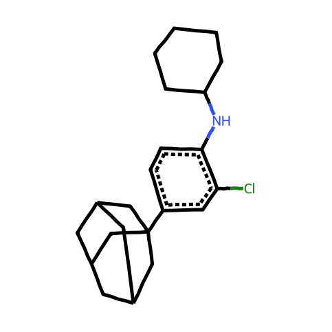 Clc1cc(C23CC4CC(CC(C4)C2)C3)ccc1NC1CCCCC1